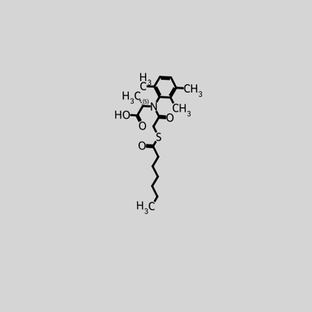 CCCCCCC(=O)SCC(=O)N(c1c(C)ccc(C)c1C)[C@@H](C)C(=O)O